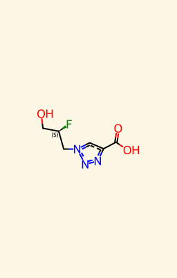 O=C(O)c1cn(C[C@H](F)CO)nn1